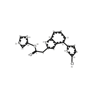 O=C(Cc1cc2c(-c3ccc(Cl)s3)cccc2s1)Oc1cncs1